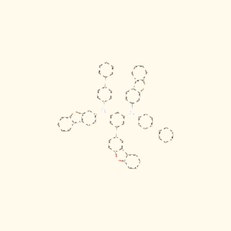 c1ccc(-c2ccc(N(c3cc(-c4ccc5oc6ccccc6c5c4)cc(N(c4ccc(-c5ccccc5)cc4)c4ccc5c(c4)sc4ccccc45)c3)c3ccc4c(c3)sc3ccccc34)cc2)cc1